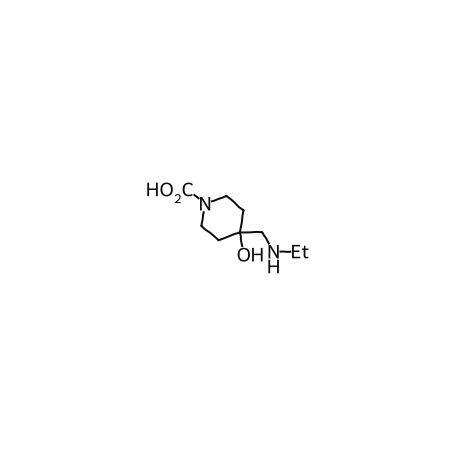 CCNCC1(O)CCN(C(=O)O)CC1